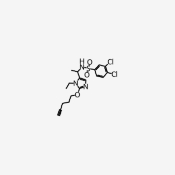 C#CCCCOc1ncc(C(C)NS(=O)(=O)c2ccc(Cl)c(Cl)c2)n1CC